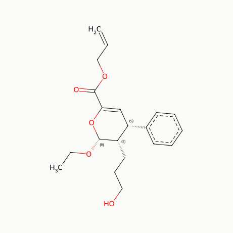 C=CCOC(=O)C1=C[C@H](c2ccccc2)[C@H](CCCO)[C@H](OCC)O1